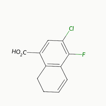 O=C(O)c1cc(Cl)c(F)c2c1CCC=C2